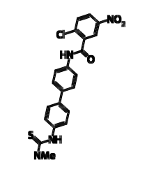 CNC(=S)Nc1ccc(-c2ccc(NC(=O)c3cc([N+](=O)[O-])ccc3Cl)cc2)cc1